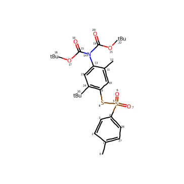 Cc1ccc(S(=O)(=O)Sc2cc(C)c(N(C(=O)OC(C)(C)C)C(=O)OC(C)(C)C)cc2C(C)(C)C)cc1